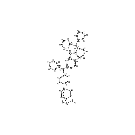 CC1C2CC3CC1CC(c1ccc(N(c4ccccc4)c4ccc5c(c4)oc4c(N(c6ccccc6)c6ccccc6)cccc45)cc1)(C3)C2